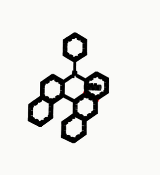 COc1ccc2ccccc2c1-c1c(P(c2ccccc2)c2ccccc2)ccc2ccccc12